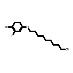 N#CCCCCCCCCCOC1=CC(F)=C(O)CC1